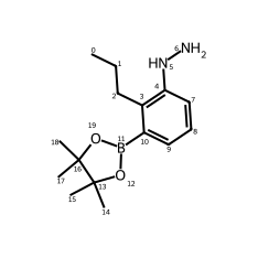 CCCc1c(NN)cccc1B1OC(C)(C)C(C)(C)O1